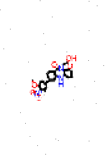 COc1cc(-c2ccc3c(c2)Nc2ccccc2N(CC(=O)O)C3=O)ccc1[N+](=O)[O-]